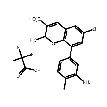 Cc1ccc(-c2cc(Cl)cc3c2OC(C(F)(F)F)C(C(=O)O)=C3)cc1N.O=C(O)C(F)(F)F